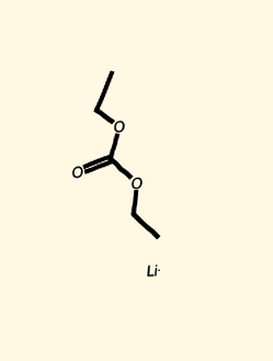 CCOC(=O)OCC.[Li]